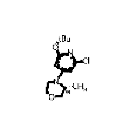 C[C@@H]1COCCN1c1cc(Cl)nc(OC(C)(C)C)c1